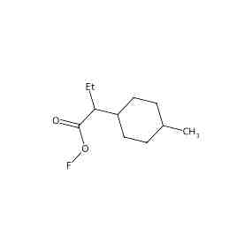 CCC(C(=O)OF)C1CCC(C)CC1